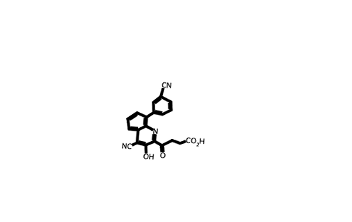 N#Cc1cccc(-c2cccc3c(C#N)c(O)c(C(=O)CCC(=O)O)nc23)c1